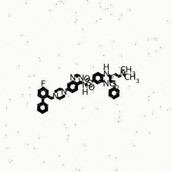 CN(C)CC[C@H](CSc1ccccc1)Nc1ccc(S(=O)(=O)Nc2ncnc3cc(N4CCN(Cc5cc(F)ccc5-c5ccccc5)CC4)ccc23)cc1[N+](=O)[O-]